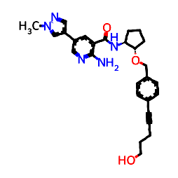 Cn1cc(-c2cnc(N)c(C(=O)N[C@H]3CCC[C@@H]3OCc3ccc(C#CCCCO)cc3)c2)cn1